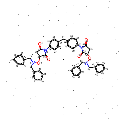 O=C1CC(ON(Cc2ccccc2)Cc2ccccc2)C(=O)N1c1ccc(Cc2ccc(N3C(=O)CC(ON(Cc4ccccc4)Cc4ccccc4)C3=O)cc2)cc1